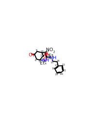 CCOC1(OCC)C2CC(=O)CC1C([N+](=O)[O-])=C(NCCc1ccccc1)N2